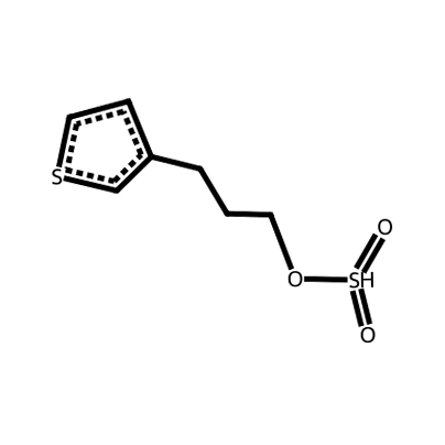 O=[SH](=O)OCCCc1ccsc1